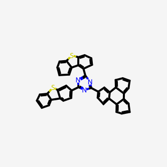 c1ccc2c(c1)sc1cc(-c3nc(-c4ccc5c6ccccc6c6ccccc6c5c4)nc(-c4cccc5sc6ccccc6c45)n3)ccc12